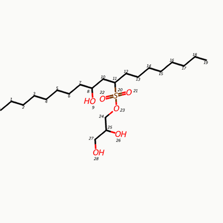 CCCCCCCCC(O)CC(CCCCCCCC)S(=O)(=O)OCC(O)CO